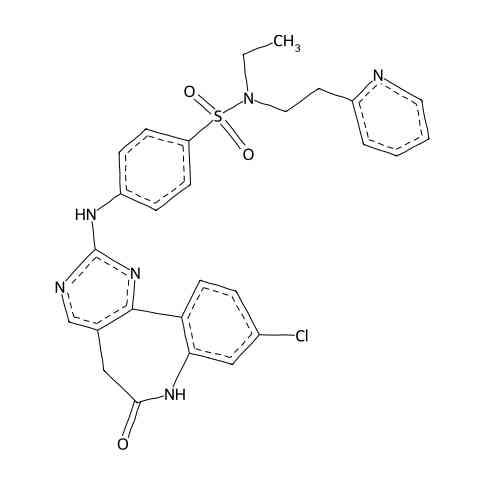 CCN(CCc1ccccn1)S(=O)(=O)c1ccc(Nc2ncc3c(n2)-c2ccc(Cl)cc2NC(=O)C3)cc1